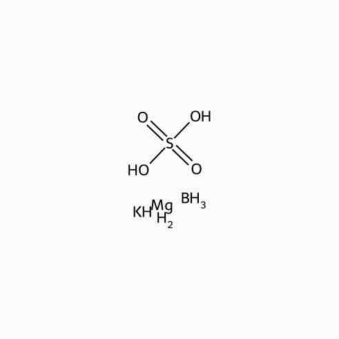 B.O=S(=O)(O)O.[KH].[MgH2]